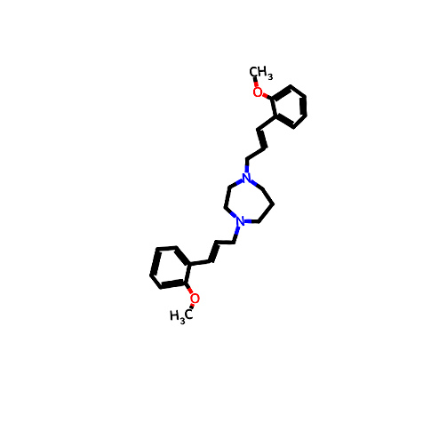 COc1ccccc1C=CCN1CCCN(CC=Cc2ccccc2OC)CC1